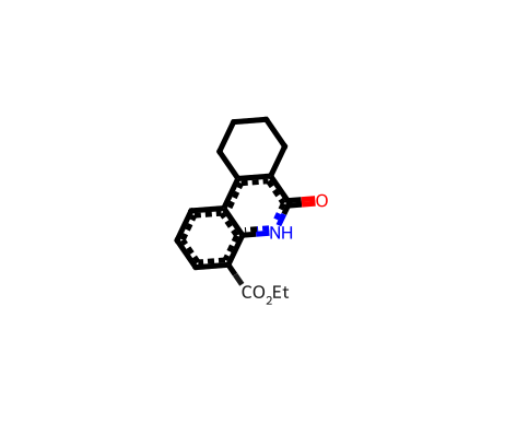 CCOC(=O)c1cccc2c3c(c(=O)[nH]c12)CCCC3